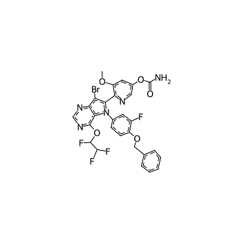 COc1cc(OC(N)=O)cnc1-c1c(Br)c2ncnc(OC(F)C(F)F)c2n1-c1ccc(OCc2ccccc2)c(F)c1